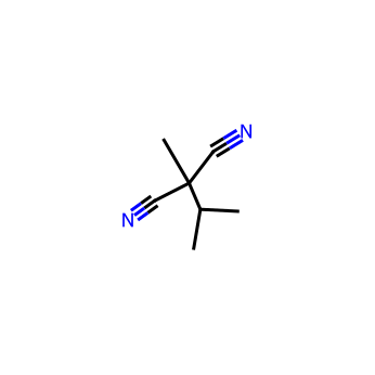 CC(C)C(C)(C#N)C#N